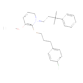 CC(C)(CCN1CC=CC(OC(=O)O)=C1SCCCc1ccc(F)cc1)c1ccccc1